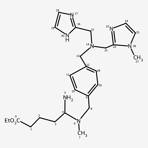 CCOC(=O)CCCC(N)N(C)Cc1ccc(CN(Cc2ncc[nH]2)Cc2nccn2C)cc1